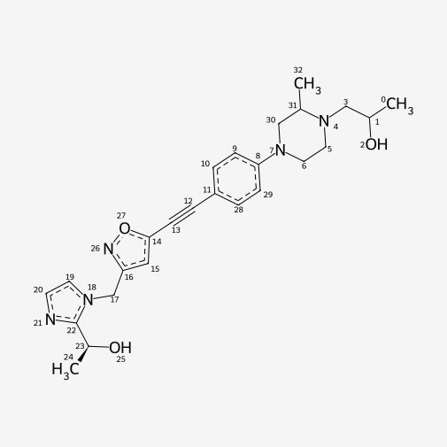 CC(O)CN1CCN(c2ccc(C#Cc3cc(Cn4ccnc4[C@H](C)O)no3)cc2)CC1C